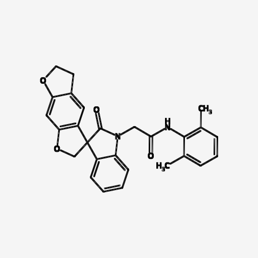 Cc1cccc(C)c1NC(=O)CN1C(=O)C2(COc3cc4c(cc32)CCO4)c2ccccc21